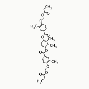 C=CC(=O)OCOc1ccc(C(=O)Oc2ccc(OC(=O)c3ccc(OCOC(=O)C=C)c(C)c3)c(C)c2C)cc1C